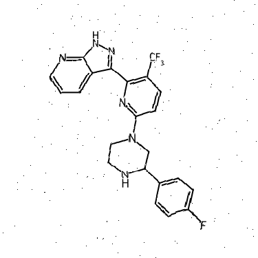 Fc1ccc(C2CN(c3ccc(C(F)(F)F)c(-c4n[nH]c5ncccc45)n3)CCN2)cc1